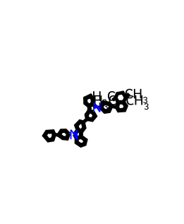 CC1(C)CCC(C)(C)c2c(-c3ccc(-n4c5ccccc5c5cc(-c6ccc7c(c6)c6ccccc6n7-c6ccc(-c7ccccc7)cc6)ccc54)cc3)cccc21